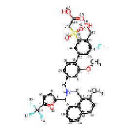 COc1cc(CN(Cc2ccc(C(F)(F)F)o2)Cc2c(C)ccc3ccccc23)ccc1-c1cc(F)c(CO)c(S(=O)(=O)CC(=O)O)c1